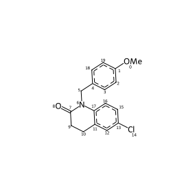 COc1ccc(CN2C(=O)CCc3cc(Cl)ccc32)cc1